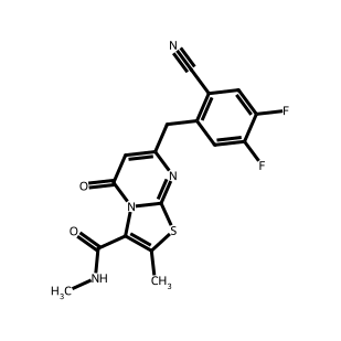 CNC(=O)c1c(C)sc2nc(Cc3cc(F)c(F)cc3C#N)cc(=O)n12